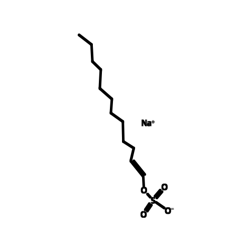 CCCCCCCCCCC=COS(=O)(=O)[O-].[Na+]